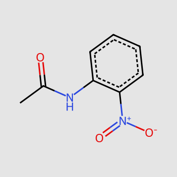 CC(=O)Nc1ccccc1[N+](=O)[O-]